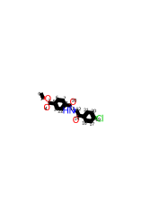 CCOC(=O)c1ccc(C(=O)NCC(=O)c2ccc(Cl)cc2)cc1